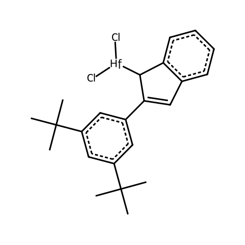 CC(C)(C)c1cc(C2=Cc3ccccc3[CH]2[Hf]([Cl])[Cl])cc(C(C)(C)C)c1